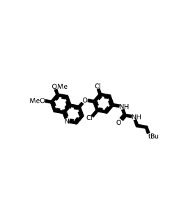 COc1cc2nccc(Oc3c(Cl)cc(NC(=O)NCCC(C)(C)C)cc3Cl)c2cc1OC